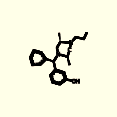 CCCN1C[C@@H](C)N([C@H](c2ccccc2)c2cccc(O)c2)C[C@@H]1C